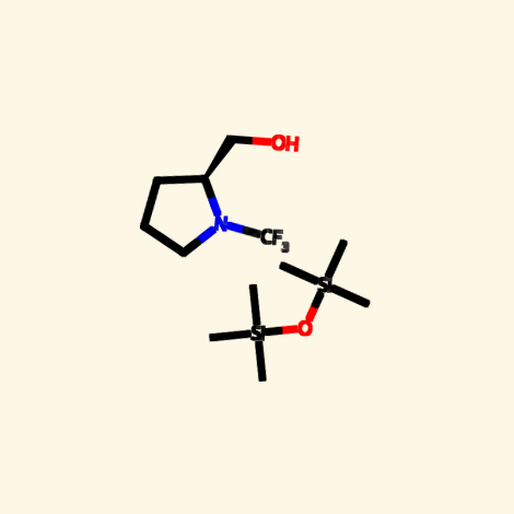 C[Si](C)(C)O[Si](C)(C)C.OC[C@@H]1CCCN1C(F)(F)F